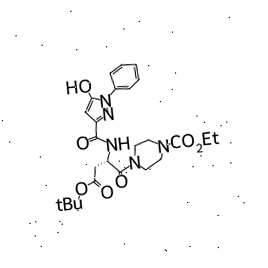 CCOC(=O)N1CCN(C(=O)[C@H](CC(=O)OC(C)(C)C)NC(=O)c2cc(O)n(-c3ccccc3)n2)CC1